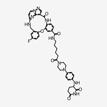 O=C1CCC(Nc2ccc(N3CCN(C(=O)CCCCCNC(=O)c4ccc5c(c4)Oc4ccc(F)cc4CNc4ccn6ncc(c6n4)C(=O)N5)CC3)cc2)C(=O)N1